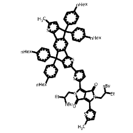 CCCCCCc1ccc(C2(c3ccc(CCCCCC)cc3)c3cc4c(cc3-c3sc(C)cc32)C(c2ccc(CCCCCC)cc2)(c2ccc(CCCCCC)cc2)c2cc(-c3ccc(C5=C6C(=O)N(CC(CC)CCCC)C(c7ccc(C)s7)=C6C(=O)N5CC(CC)CCCC)s3)sc2-4)cc1